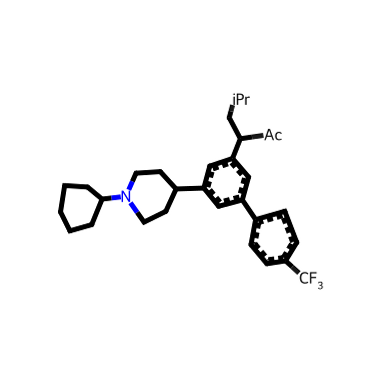 CC(=O)C(CC(C)C)c1cc(-c2ccc(C(F)(F)F)cc2)cc(C2CCN(C3CCCCC3)CC2)c1